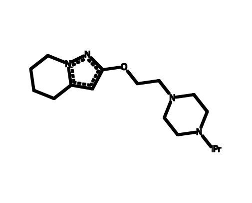 CC(C)N1CCN(CCOc2cc3n(n2)CCCC3)CC1